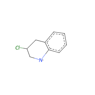 ClC1C[N]c2ccccc2C1